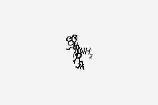 C=Cc1cc(-c2cc(N)c(N3CCN(C(=O)CN4CCC4=O)[C@H](CCC)C3)nc2C2CC2)ccn1